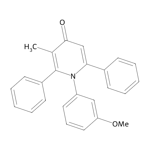 COc1cccc(-n2c(-c3ccccc3)cc(=O)c(C)c2-c2ccccc2)c1